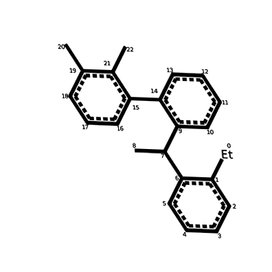 CCc1ccccc1C(C)c1ccccc1-c1cccc(C)c1C